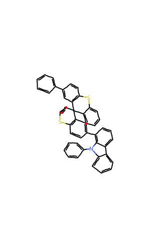 c1ccc(-c2ccc3c(c2)C2(c4ccccc4S3)c3ccccc3Sc3ccc(-c4cccc5c6ccccc6n(-c6ccccc6)c45)cc32)cc1